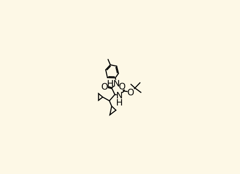 Cc1ccc(NC(=O)C(NC(=O)OC(C)(C)C)C(C2CC2)C2CC2)cc1